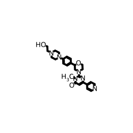 Cn1c(N2CCOC(c3ccc(N4CCN(CCO)CC4)cc3)C2)nc(-c2ccncc2)cc1=O